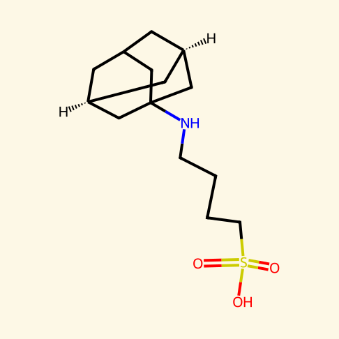 O=S(=O)(O)CCCCNC12CC3C[C@H](C1)C[C@@H](C3)C2